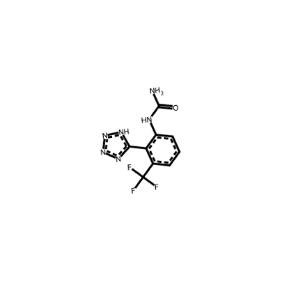 NC(=O)Nc1cccc(C(F)(F)F)c1-c1nnn[nH]1